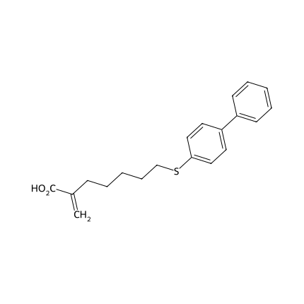 C=C(CCCCCSc1ccc(-c2ccccc2)cc1)C(=O)O